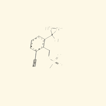 C#Cc1cccc(C2(C(F)(F)F)NN2)c1COS(C)(=O)=O